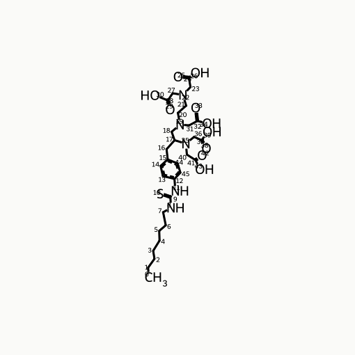 CCCCCCCCNC(=S)Nc1ccc(CC(CN(CCN(CC(=O)O)CC(=O)O)CC(=O)O)N(CC(=O)O)CC(=O)O)cc1